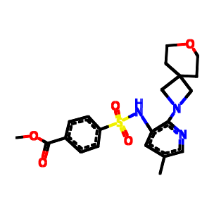 COC(=O)c1ccc(S(=O)(=O)Nc2cc(C)cnc2N2CC3(CCOCC3)C2)cc1